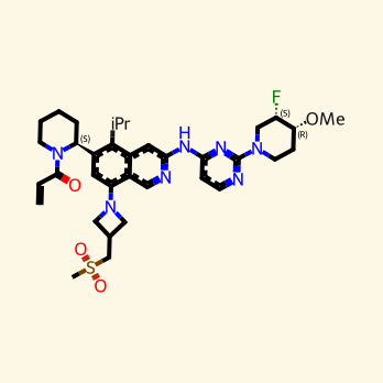 C=CC(=O)N1CCCC[C@H]1c1cc(N2CC(CS(C)(=O)=O)C2)c2cnc(Nc3ccnc(N4CC[C@@H](OC)[C@@H](F)C4)n3)cc2c1C(C)C